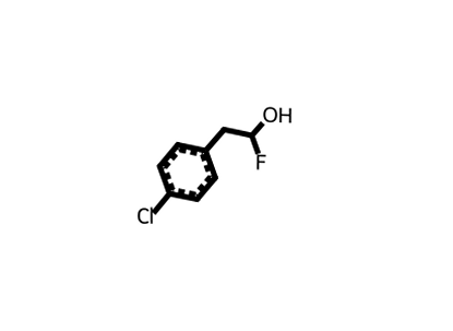 OC(F)Cc1ccc(Cl)cc1